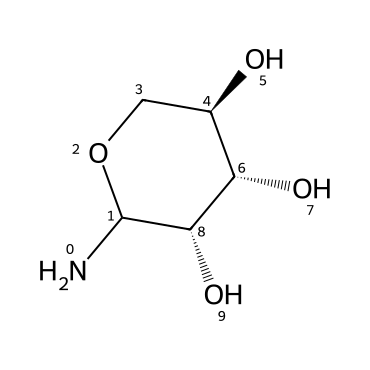 NC1OC[C@@H](O)[C@H](O)[C@@H]1O